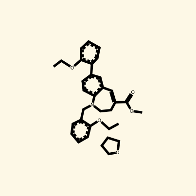 C1CCOC1.CCOc1ccccc1CN1CCC(C(=O)OC)=Cc2cc(-c3ccccc3OCC)ccc21